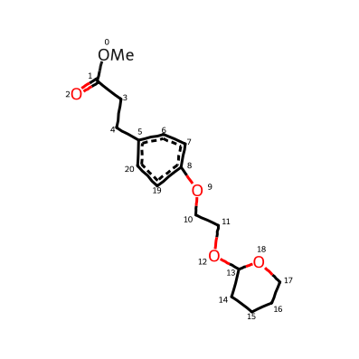 COC(=O)CCc1ccc(OCCOC2CCCCO2)cc1